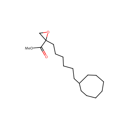 COC(=O)C1(CCCCCCC2CCCCCCC2)CO1